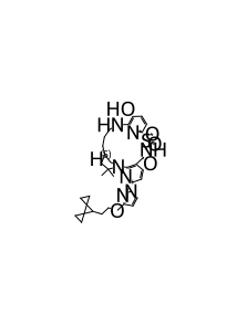 CC1(C)C[C@@H]2CCCNc3nc(ccc3O)S(=O)(=O)NC(=O)c3ccc(-n4ccc(OCCC5C6(CC6)C56CC6)n4)nc3N1C2